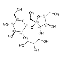 OCC(O)CO.OC[C@H]1O[C@@](CO)(O[C@H]2O[C@H](CO)[C@@H](O)[C@H](O)[C@H]2O)[C@@H](O)[C@@H]1O